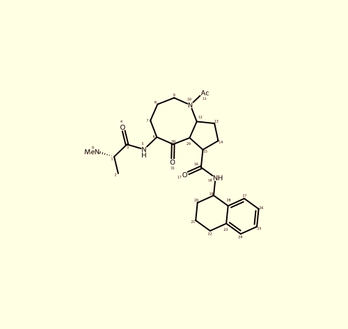 CN[C@@H](C)C(=O)NC1CCCN(C(C)=O)C2CCC(C(=O)NC3CCCc4ccccc43)C2C1=O